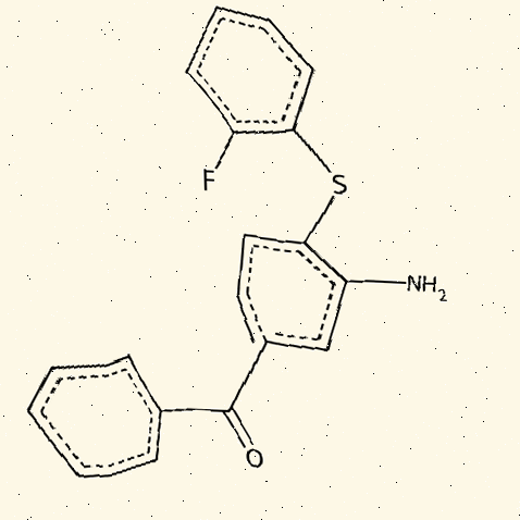 Nc1cc(C(=O)c2ccccc2)ccc1Sc1ccccc1F